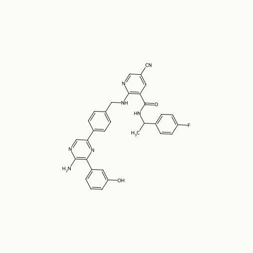 CC(NC(=O)c1cc(C#N)cnc1NCc1ccc(-c2cnc(N)c(-c3cccc(O)c3)n2)cc1)c1ccc(F)cc1